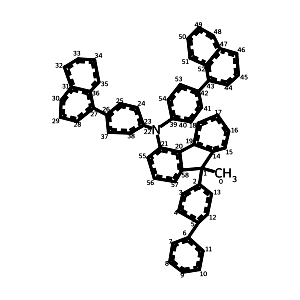 CC1(c2ccc(-c3ccccc3)cc2)c2ccccc2-c2c(N(c3ccc(-c4cccc5ccccc45)cc3)c3ccc(-c4cccc5ccccc45)cc3)cccc21